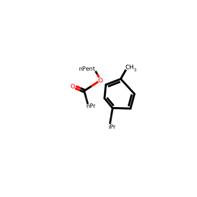 CCCCCOC(=O)CCC.Cc1ccc(C(C)C)cc1